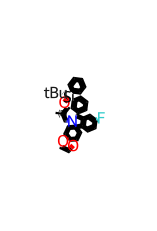 C[C@@H](CO[Si](c1ccccc1)(c1ccccc1)C(C)(C)C)CN1Cc2cc(F)ccc2C12CCC1(CC2)OCCO1